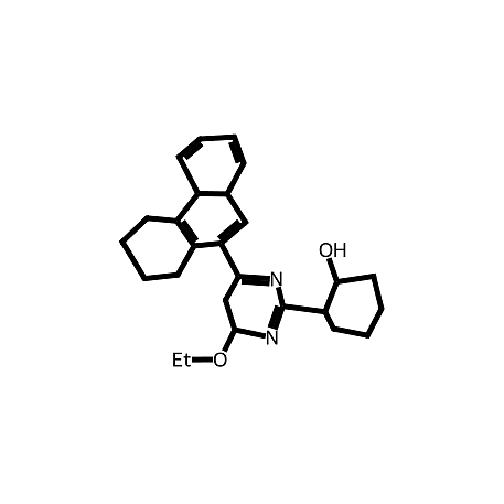 CCOC1CC(C2=CC3C=CC=CC3C3=C2CCCC3)=NC(C2CCCCC2O)=N1